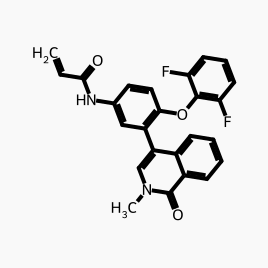 C=CC(=O)Nc1ccc(Oc2c(F)cccc2F)c(-c2cn(C)c(=O)c3ccccc23)c1